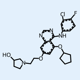 OC1CCN(CCOc2cc(OC3CCCC3)c3c(Nc4ccc(F)c(Cl)c4)ncnc3c2)C1